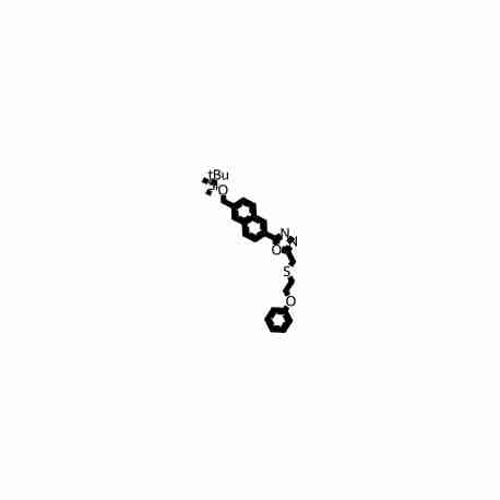 CC(C)(C)[Si](C)(C)OCc1ccc2cc(-c3nnc(CSCCOc4ccccc4)o3)ccc2c1